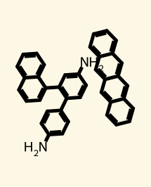 Nc1ccc(-c2ccc(N)cc2-c2cccc3ccccc23)cc1.c1ccc2cc3cc4ccccc4cc3cc2c1